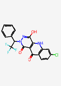 O=c1c2ccc(Cl)cc2[nH]c2c(O)nn(C(c3ccccc3)C(F)(F)F)c(=O)c12